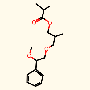 COC(COCC(C)COC(=O)C(C)C)c1ccccc1